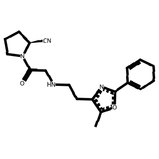 Cc1oc(C2=CCCC=C2)nc1CCNCC(=O)N1CCC[C@H]1C#N